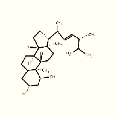 CC(C)[C@@H](C)/C=C/[C@@H](C)[C@H]1CC[C@H]2[C@@H]3CCC4C[C@@H](O)C[C@H](O)[C@]4(C)[C@H]3CC[C@]12C